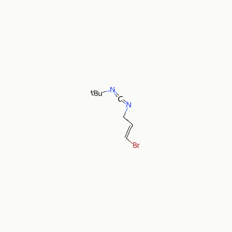 CC(C)(C)N=C=NCC=CBr